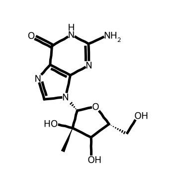 C[C@]1(O)C(O)[C@@H](CO)O[C@H]1n1cnc2c(=O)[nH]c(N)nc21